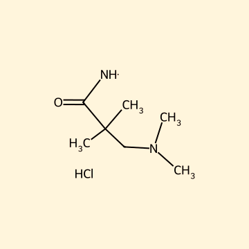 CN(C)CC(C)(C)C([NH])=O.Cl